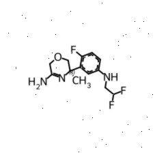 C[C@@]1(c2cc(NCC(F)F)ccc2F)COCC(N)=N1